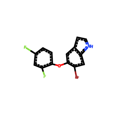 Fc1ccc(Oc2cc3cc[nH]c3cc2Br)c(F)c1